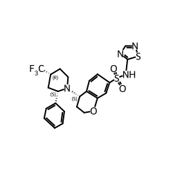 O=S(=O)(Nc1ncns1)c1ccc2c(c1)OCC[C@@H]2N1CC[C@@H](C(F)(F)F)C[C@H]1c1ccccc1